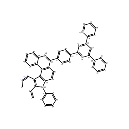 C=Cc1c(/C=C\C)c2c3c(ccc2n1-c1ccccc1)c(-c1ccc(-c2nc(-c4ccccn4)nc(-c4ccccn4)n2)cc1)nc1ccccc13